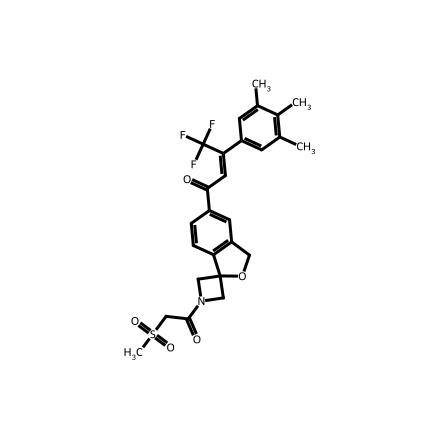 Cc1cc(C(=CC(=O)c2ccc3c(c2)COC32CN(C(=O)CS(C)(=O)=O)C2)C(F)(F)F)cc(C)c1C